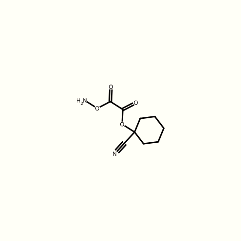 N#CC1(OC(=O)C(=O)ON)CCCCC1